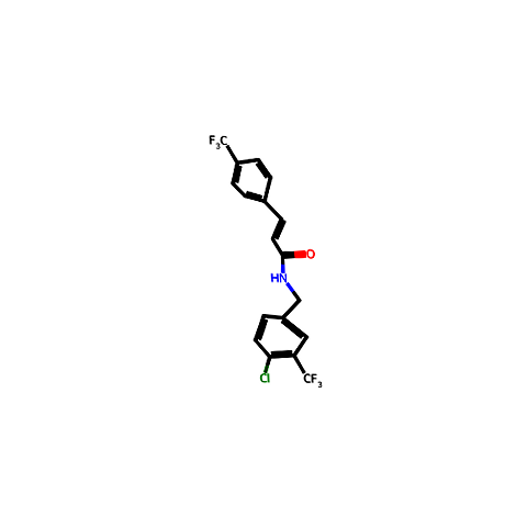 O=C(/C=C/c1ccc(C(F)(F)F)cc1)NCc1ccc(Cl)c(C(F)(F)F)c1